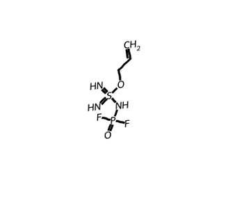 C=CCOS(=N)(=N)NP(=O)(F)F